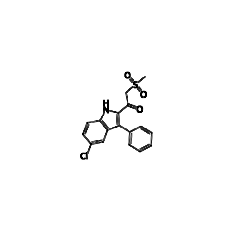 CS(=O)(=O)CC(=O)c1[nH]c2ccc(Cl)cc2c1-c1ccccc1